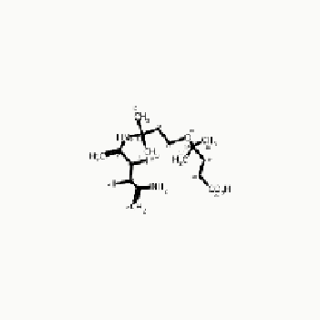 C=C(N)C(I)C(I)C(=C)NC(C)(C)CCOC(C)(C)CCC(=O)O